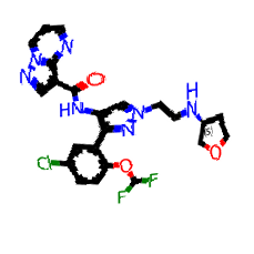 O=C(Nc1cn(CCN[C@H]2CCOC2)nc1-c1cc(Cl)ccc1OC(F)F)c1cnn2cccnc12